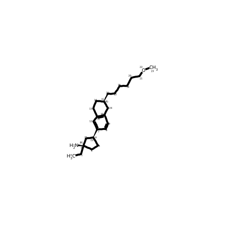 CC[C@@]1(N)CC[C@H](c2ccc3c(c2)CC[C@@H](CCCCCCOC)C3)C1